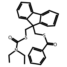 CCN(CC)C(=O)SCC1(CSC(=O)c2ccccc2)c2ccccc2-c2ccccc21